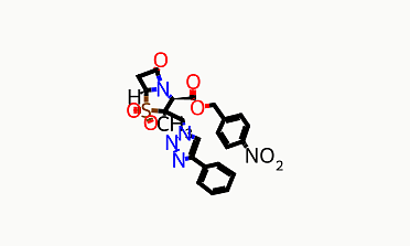 C[C@]1(Cn2cc(-c3ccccc3)nn2)[C@H](C(=O)OCc2ccc([N+](=O)[O-])cc2)N2C(=O)C[C@@H]2S1(=O)=O